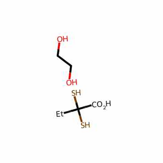 CCC(S)(S)C(=O)O.OCCO